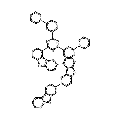 c1ccc(-c2cccc(-c3nc(-c4cccc(-c5ccccc5)c4)nc(-c4cccc5oc6ccc(-c7cccc8sc9ccc(-c%10ccc%11c(c%10)sc%10ccccc%10%11)cc9c78)cc6c45)n3)c2)cc1